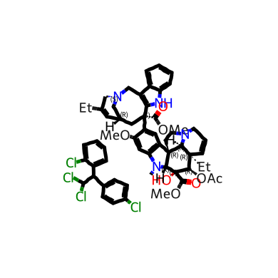 CCC1=C[C@@H]2C[N@](C1)Cc1c([nH]c3ccccc13)[C@@](C(=O)OC)(c1cc3c(cc1OC)N(C)[C@H]1[C@@](O)(C(=O)OC)[C@H](OC(C)=O)[C@]4(CC)C=CCN5CC[C@]31[C@@H]54)C2.Clc1ccc(C(c2ccccc2Cl)C(Cl)Cl)cc1